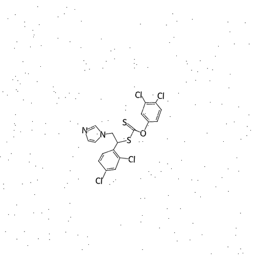 S=C(Oc1ccc(Cl)c(Cl)c1)SC(Cn1ccnc1)c1ccc(Cl)cc1Cl